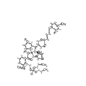 C=CCOP(=O)(OCC=C)OCc1c(OC)cccc1C(=O)OC(Cn1cncn1)(c1ccc(F)cc1F)C(C)SC1COC(C=CC=Cc2ccc(C#N)cc2F)OC1